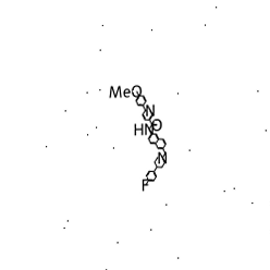 COc1ccc(-c2ccc(C(=O)Nc3ccc4cc(CN5CCC(c6ccc(F)cc6)CC5)ccc4c3)cn2)cc1